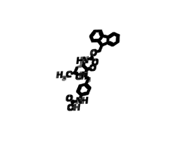 CC(C)C[C@H](NC(=O)OCC1c2ccccc2-c2ccccc21)C(=O)NCc1ccc(NC(=O)O)cc1